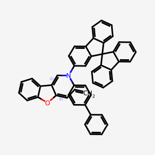 C=C/C=c1/oc2ccccc2/c1=C/N(c1ccc(-c2ccccc2)cc1)c1ccc2c(c1)C1(c3ccccc3-c3ccccc31)c1ccccc1-2